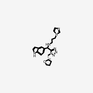 c1cn(CCCNC(c2ccc3[nH]ccc3c2)c2nnnn2C[C@@H]2CCCO2)cn1